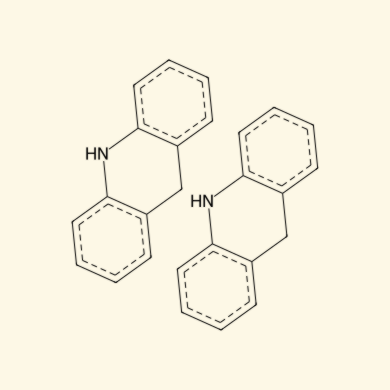 c1ccc2c(c1)Cc1ccccc1N2.c1ccc2c(c1)Cc1ccccc1N2